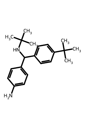 CC(C)(C)NC(c1ccc(N)cc1)c1ccc(C(C)(C)C)cc1